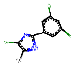 FC(F)(F)c1[nH]c(-c2cc(Cl)cc(Cl)c2)nc1Br